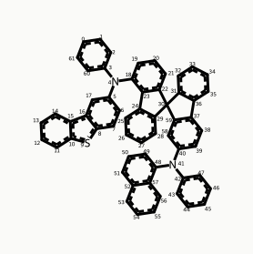 c1ccc(N(c2ccc3sc4ccccc4c3c2)c2cccc3c2-c2ccccc2C32c3ccccc3-c3ccc(N(c4ccccc4)c4cccc5ccccc45)cc32)cc1